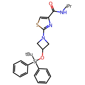 CC(C)NC(=O)c1csc(N2CC(O[Si](c3ccccc3)(c3ccccc3)C(C)(C)C)C2)n1